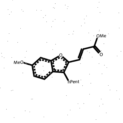 CCCCCc1c(C=CC(=O)OC)oc2cc(OC)ccc12